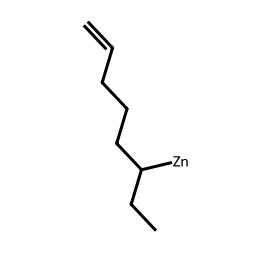 C=CCCC[CH]([Zn])CC